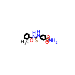 Cc1ccccc1C(=O)NC(=S)Nc1ccc(S(N)(=O)=O)cc1